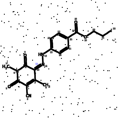 CC1=C(C#N)C(=O)N(C)C(=O)/C1=N\Nc1ccc(C(=O)OCCI)cc1